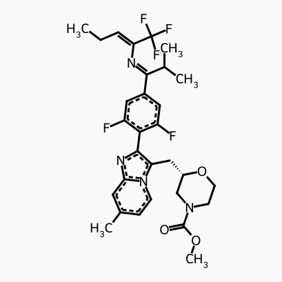 CC/C=C(\N=C(\c1cc(F)c(-c2nc3cc(C)ccn3c2C[C@H]2CN(C(=O)OC)CCO2)c(F)c1)C(C)C)C(F)(F)F